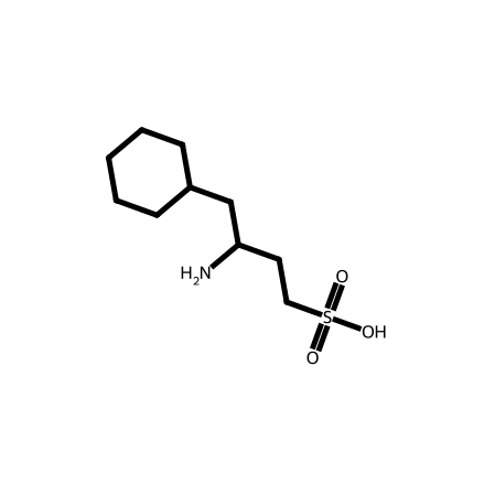 NC(CCS(=O)(=O)O)CC1CCCCC1